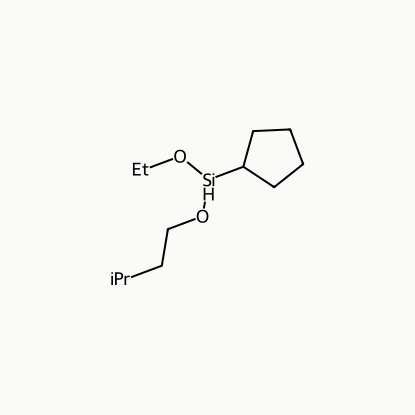 CCO[SiH](OCCC(C)C)C1CCCC1